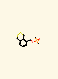 CP(C)(=O)OCc1cccc2c1CSSC2